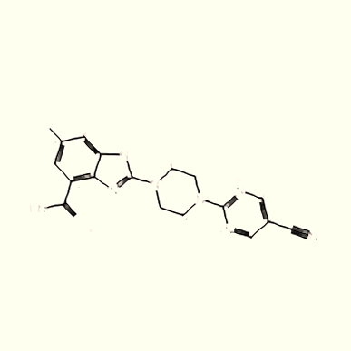 N#Cc1cnc(N2CCN(c3nc4c(C(N)=O)cc(F)cc4[nH]3)CC2)nc1